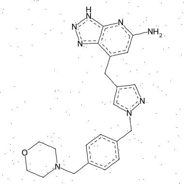 Nc1cc(Cc2cnn(Cc3ccc(CN4CCOCC4)cc3)c2)c2nn[nH]c2n1